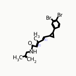 C=C(C)CNC(=O)/C=C(C)/C=C/C1CC1c1ccc(Br)c(Br)c1